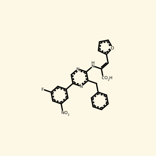 O=C(O)/C(=C/c1ccco1)Nc1ncc(-c2cc(F)cc([N+](=O)[O-])c2)nc1Cc1ccccc1